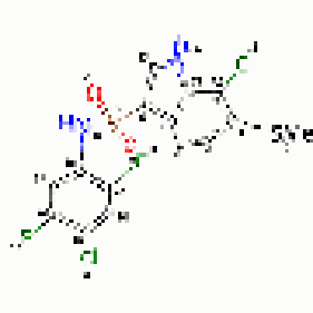 CSc1ccc2c(S(=O)(=O)Nc3cc(F)c(Cl)cc3F)c[nH]c2c1Cl